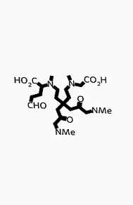 CNCC(=O)CC(CCN(C)CC(=O)O)(CCN(C)C(CCC=O)C(=O)O)CC(=O)CNC